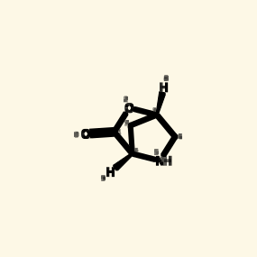 O=C1O[C@@H]2CN[C@H]1C2